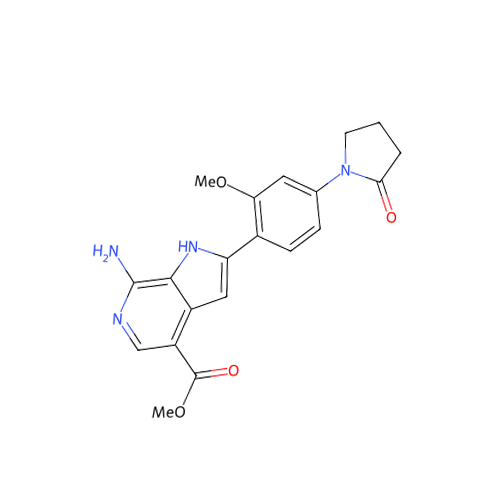 COC(=O)c1cnc(N)c2[nH]c(-c3ccc(N4CCCC4=O)cc3OC)cc12